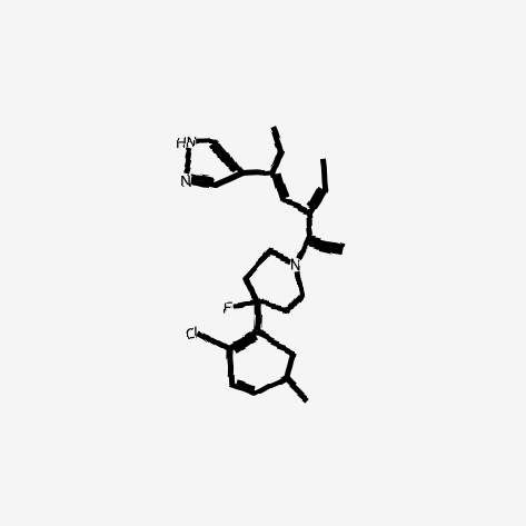 C=C(C(=C/C)/C=C(\CC)c1cn[nH]c1)N1CCC(F)(C2=C(Cl)C=CC(C)C2)CC1